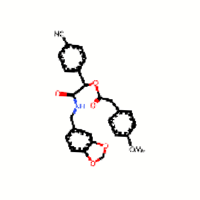 COc1ccc(CC(=O)OC(C(=O)NCc2ccc3c(c2)OCO3)c2ccc(C#N)cc2)cc1